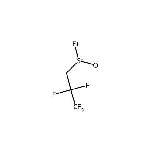 CC[S+]([O-])CC(F)(F)C(F)(F)F